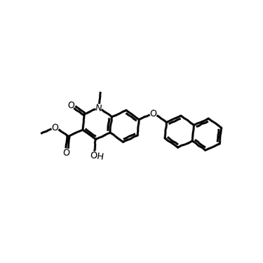 COC(=O)c1c(O)c2ccc(Oc3ccc4ccccc4c3)cc2n(C)c1=O